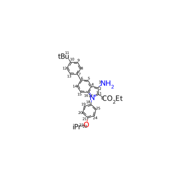 CCOC(=O)c1c(N)c2cc(-c3ccc(C(C)(C)C)cc3)ccc2n1-c1ccc(OC(C)C)cc1